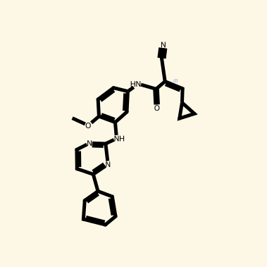 COc1ccc(NC(=O)/C(C#N)=C\C2CC2)cc1Nc1nccc(-c2ccccc2)n1